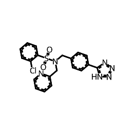 O=S(=O)(c1ccccc1Cl)N(Cc1ccc(-c2nnn[nH]2)cc1)Cc1ccccn1